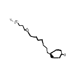 [CH2]CCCOCCCCCCCc1ccc(Cl)cc1